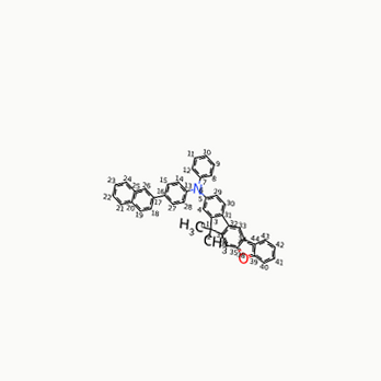 CC1(C)c2cc(N(c3ccccc3)c3ccc(-c4ccc5ccccc5c4)cc3)ccc2-c2cc3c(cc21)oc1ccccc13